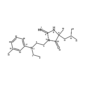 CCN(CCN1C(=N)NC(C)(CC(C)C)C1=O)c1cccc(C)c1